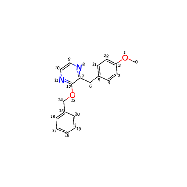 COc1ccc(Cc2nccnc2OCc2ccccc2)cc1